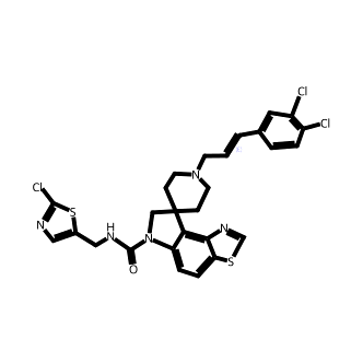 O=C(NCc1cnc(Cl)s1)N1CC2(CCN(C/C=C/c3ccc(Cl)c(Cl)c3)CC2)c2c1ccc1scnc21